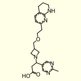 Cc1ncc(C(CC(=O)O)N2CC(COCCc3ccc4c(n3)NCCC4)C2)cn1